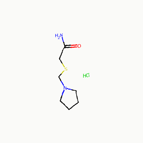 Cl.NC(=O)CSCN1CCCC1